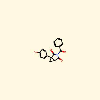 O=C(c1ccccc1)N1C(=O)C2CC2(c2ccc(Br)cc2)C1=O